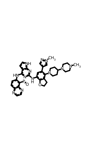 CN1CCN(C2CCN(c3c(-c4cnn(C)c4)cc(Nc4nc(Nc5ccc6nccnc6c5P=O)c5cc[nH]c5n4)c4c3CCO4)CC2)CC1